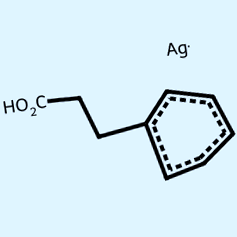 O=C(O)CCc1ccccc1.[Ag]